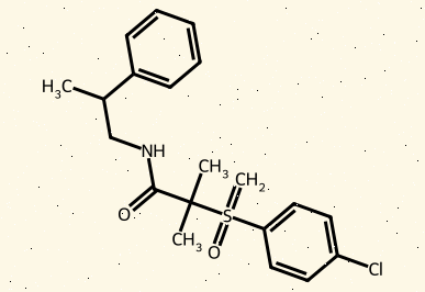 C=S(=O)(c1ccc(Cl)cc1)C(C)(C)C(=O)NCC(C)c1ccccc1